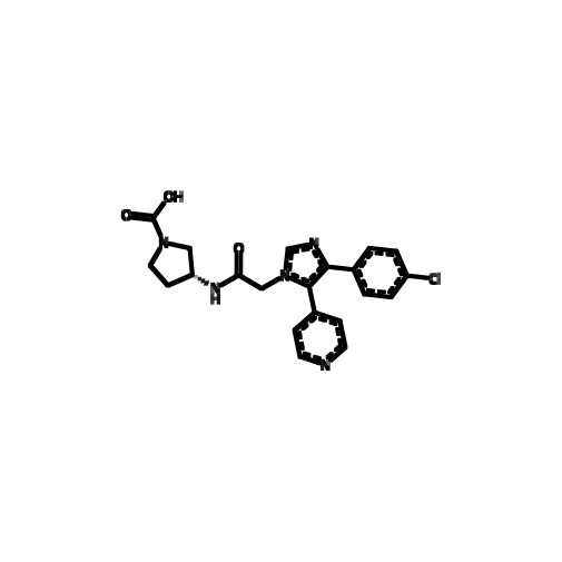 O=C(Cn1cnc(-c2ccc(Cl)cc2)c1-c1ccncc1)N[C@@H]1CCN(C(=O)O)C1